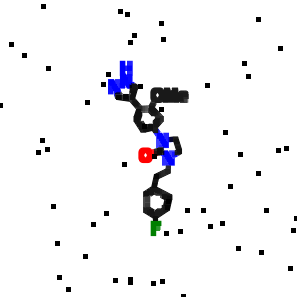 COc1cc(N2CCN(CCc3ccc(F)cc3)C2=O)ccc1-c1cn[nH]c1